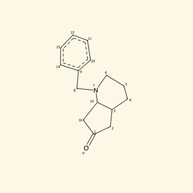 O=C1CC2CCCN(Cc3ccccc3)C2C1